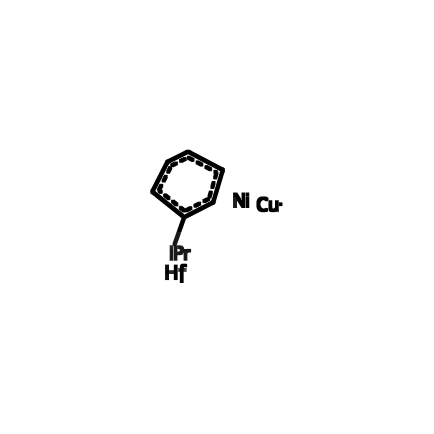 CC(C)c1ccccc1.[Cu].[Hf].[Ni]